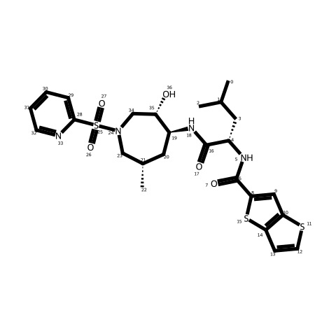 CC(C)C[C@H](NC(=O)c1cc2sccc2s1)C(=O)N[C@H]1C[C@H](C)CN(S(=O)(=O)c2ccccn2)C[C@@H]1O